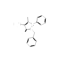 Cc1c(N)c(=O)n(Cc2ccccc2)n1-c1ccccc1